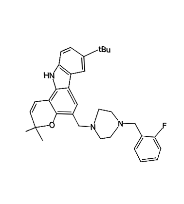 CC1(C)C=Cc2c(c(CN3CCN(Cc4ccccc4F)CC3)cc3c2[nH]c2ccc(C(C)(C)C)cc23)O1